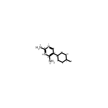 CC1CCC(c2cnc(N)nc2N)CC1